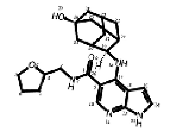 O=C(NCC1CCCO1)c1cnc2[nH]ccc2c1N[C@H]1C2CC3CC1C[C@@](O)(C3)C2